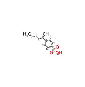 CCCCC(C)c1ccc(S(=O)(=O)O)cc1